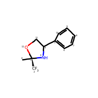 C[C@@]1(C(F)(F)F)NC(c2ccccc2)CO1